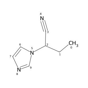 CCC(C#N)n1ccnc1